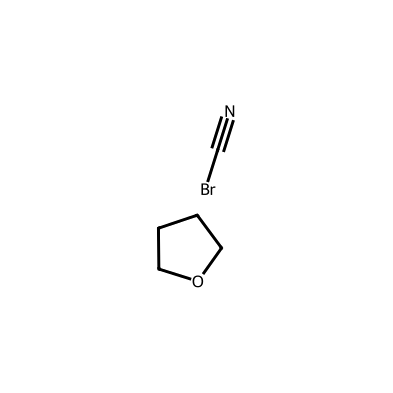 C1CCOC1.N#CBr